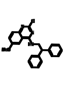 COc1ccc2nc(Cl)nc(NCC(c3ccccc3)c3ccccc3)c2c1